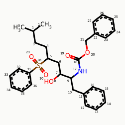 CC(C)CCC(CC(O)C(Cc1ccccc1)NC(=O)OCc1ccccc1)S(=O)(=O)c1ccccc1